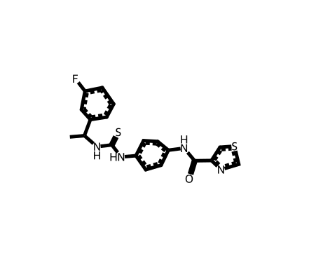 CC(NC(=S)Nc1ccc(NC(=O)c2cscn2)cc1)c1cccc(F)c1